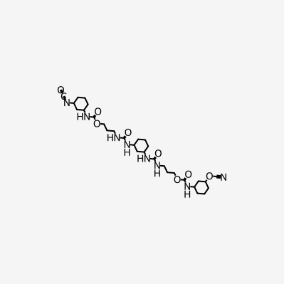 N#COC1CCCC(NC(=O)OCCCNC(=O)NC2CCCC(NC(=O)NCCCOC(=O)NC3CCCC(N=C=O)C3)C2)C1